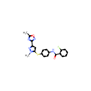 Cc1nc(-c2cc(Sc3ccc(NC(=O)c4ccccc4F)cc3)n(C)n2)no1